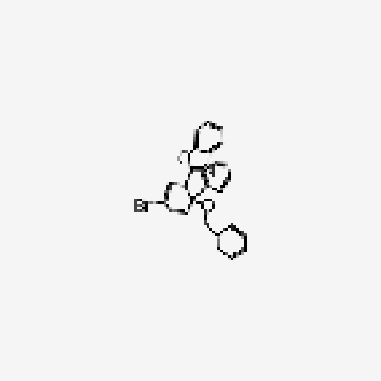 BrC1=CC(c2nc3ccccc3o2)C(OCc2ccccc2)(c2ccccc2)C=C1